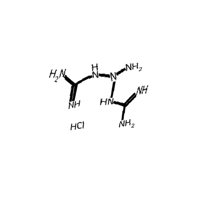 Cl.N=C(N)NN(N)NC(=N)N